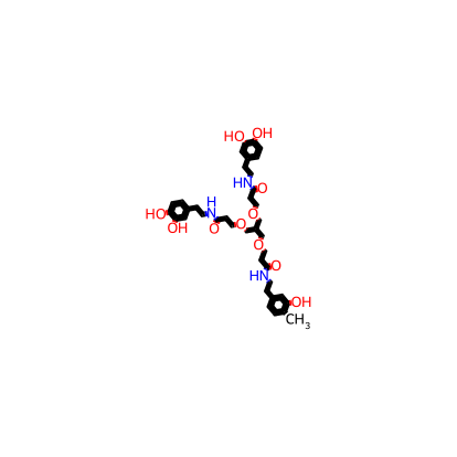 Cc1ccc(CCNC(=O)CCOCC(COCCC(=O)NCCc2ccc(O)c(O)c2)COCCC(=O)NCCc2ccc(O)c(O)c2)cc1O